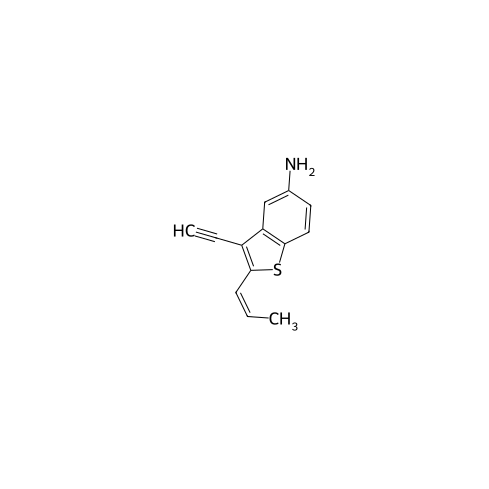 C#Cc1c(/C=C\C)sc2ccc(N)cc12